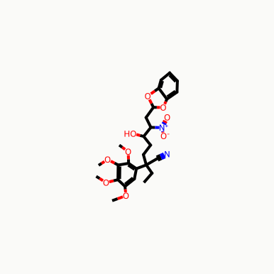 CCC(C#N)(CCC(O)C(CC1Oc2ccccc2O1)[N+](=O)[O-])c1cc(OC)c(OC)c(OC)c1OC